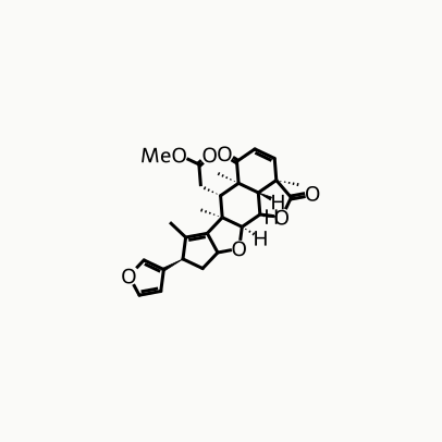 COC(=O)C[C@H]1[C@]2(C)C3=C(C)[C@H](c4ccoc4)CC3O[C@@H]2[C@@H]2OC(=O)[C@]3(C)C=CC(=O)[C@@]1(C)[C@@H]23